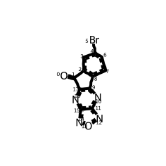 O=C1c2cc(Br)ccc2-c2nc3nonc3nc21